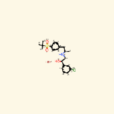 Br.CC(Cc1ccc(S(=O)(=O)C(C)(C)C)cc1)NCC(O)c1cccc(Cl)c1